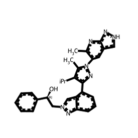 Cc1nc2n[nH]cc2cc1-n1nc(-c2cccc3nn(C[C@H](O)c4ccccc4)cc23)c(C(C)C)c1C